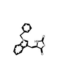 O=C1NC(=Cc2cn(Cc3ccccc3)c3ccccc23)C(=O)S1